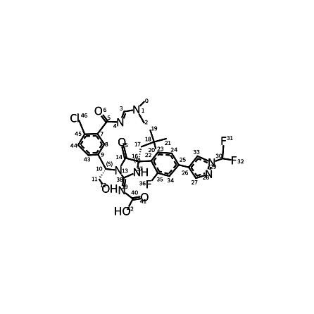 CN(C)C=NC(=O)c1cc([C@@H](CO)N2C(=O)[C@@](CC(C)(C)C)(c3ccc(-c4cnn(C(F)F)c4)cc3F)NC2=NC(=O)O)ccc1Cl